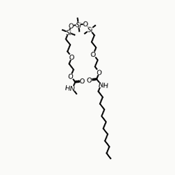 CCCCCCCCCCCCNC(=O)OCCOCCC[Si](C)(C)O[Si](C)(C)O[Si](C)(C)CCCOCCOC(=O)NC